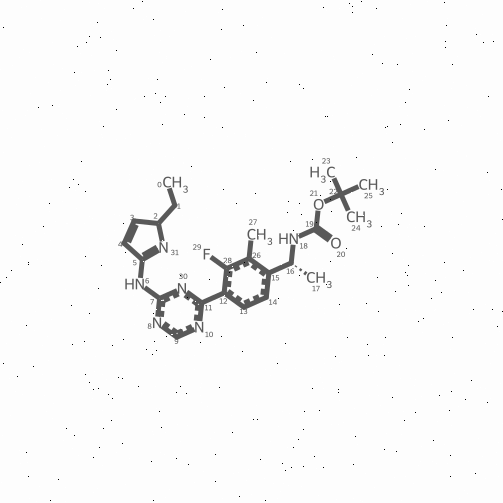 CCC1C=CC(Nc2ncnc(-c3ccc([C@@H](C)NC(=O)OC(C)(C)C)c(C)c3F)n2)=N1